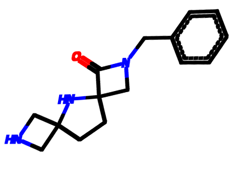 O=C1N(Cc2ccccc2)CC12CCC1(CNC1)N2